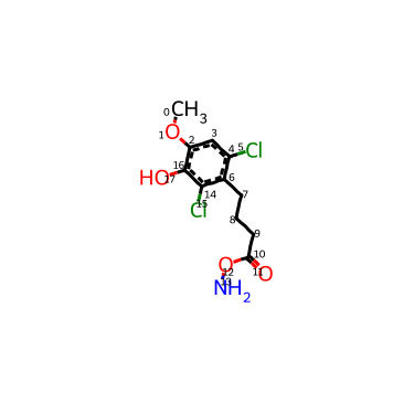 COc1cc(Cl)c(CCCC(=O)ON)c(Cl)c1O